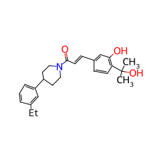 CCc1cccc(C2CCN(C(=O)/C=C/c3ccc(C(C)(C)O)c(O)c3)CC2)c1